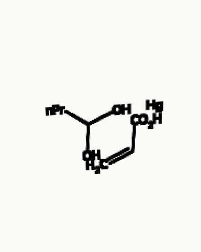 C=CC(=O)O.CCCC(O)O.[Hg]